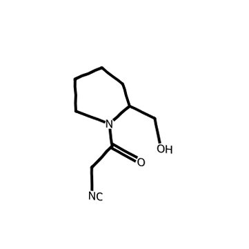 [C-]#[N+]CC(=O)N1CCCCC1CO